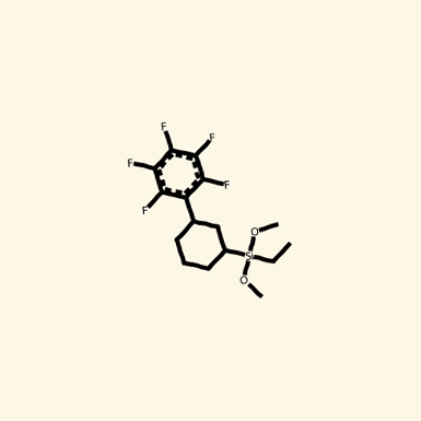 CC[Si](OC)(OC)C1CCCC(c2c(F)c(F)c(F)c(F)c2F)C1